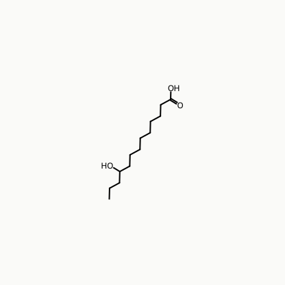 CCCC(O)CCCCCCCCC(=O)O